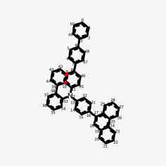 c1ccc(-c2ccc(-c3ccc(N(c4ccc(-c5cc6ccccc6c6ccccc56)cc4)c4ccccc4-c4ccccc4)cc3)cc2)cc1